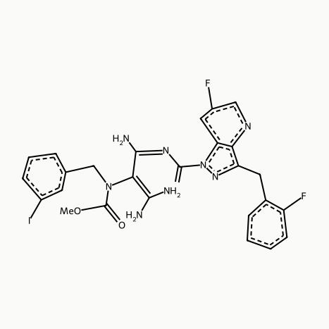 C=C(/N=C(/N)C(=C(N)N)N(Cc1cccc(I)c1)C(=O)OC)n1nc(Cc2ccccc2F)c2ncc(F)cc21